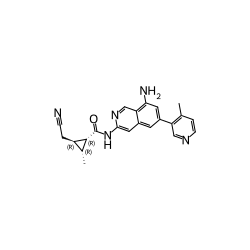 Cc1ccncc1-c1cc(N)c2cnc(NC(=O)[C@@H]3[C@H](C)[C@H]3CC#N)cc2c1